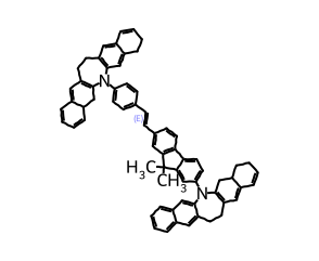 CC1(C)c2cc(/C=C/c3ccc(N4C5=C(C=C6C=CC=CC6C5)CCc5cc6c(cc54)CCC=C6)cc3)ccc2-c2ccc(N3C4=C(C=C5C=CCCC5C4)CCc4cc5ccccc5cc43)cc21